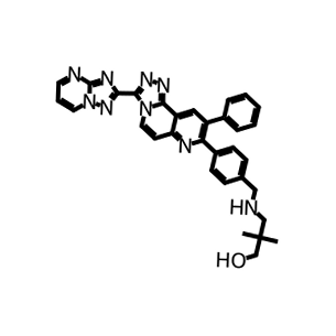 CC(C)(CO)CNCc1ccc(-c2nc3ccn4c(-c5nc6ncccn6n5)nnc4c3cc2-c2ccccc2)cc1